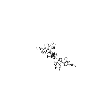 N=CC(=O)NC1C(O)CC(OP(=O)(O)OC[C@H]2O[C@@H](n3ccc(N)nc3=O)[C@@H](O)[C@H]2O)(C(=O)O)OC1[C@H](O)[C@H](O)CO